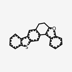 c1ccc2c3c(oc2c1)CCc1cc2c(cc1-3)sc1ccccc12